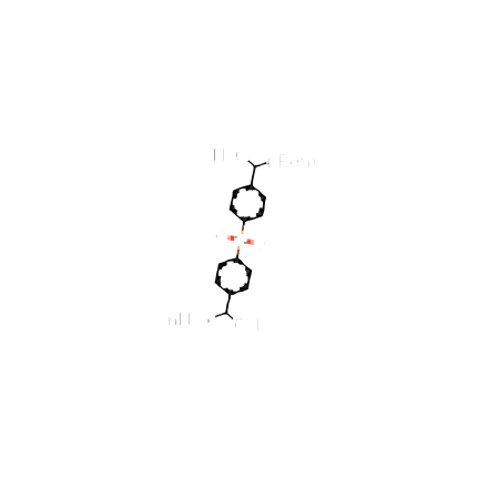 CCCCCCC(C)c1ccc(S(=O)(=O)c2ccc(C(C)CCCCC)cc2)cc1